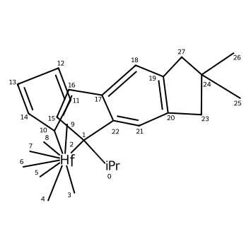 CC(C)[C]1([Hf]([CH3])([CH3])([CH3])([CH3])([CH3])([CH3])([CH3])[CH]2C=CC=C2)C=Cc2cc3c(cc21)CC(C)(C)C3